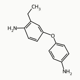 CCc1cc(Oc2ccc(N)cc2)ccc1N